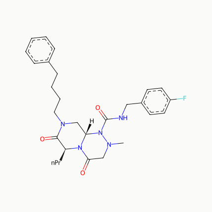 CCC[C@H]1C(=O)N(CCCCc2ccccc2)C[C@H]2N1C(=O)CN(C)N2C(=O)NCc1ccc(F)cc1